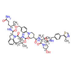 Cc1ncsc1-c1ccc(CNC(=O)[C@@H]2C[C@@H](O)CN2C(=O)[C@@H](NC(=O)C2CCN(c3ccc(CO[C@H](C)[C@H](CCC(N)=O)NC(=O)[C@@H]4Cc5cccc6c5N4C(=O)[C@@H](NC(=O)OC(C)(C)C)CC6)cc3)CC2)C(C)(C)C)cc1